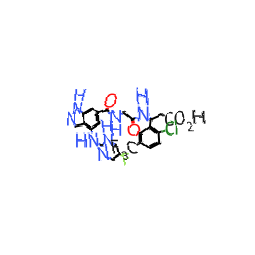 O=C(O)CC(NC(=O)CNC(=O)c1cc(NC2=NCC(F)CN2)c2cn[nH]c2c1)c1cc(C(F)(F)F)ccc1Cl